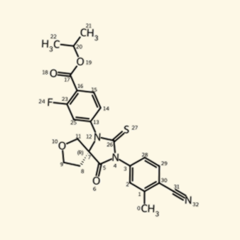 Cc1cc(N2C(=O)[C@]3(CCOC3)N(c3ccc(C(=O)OC(C)C)c(F)c3)C2=S)ccc1C#N